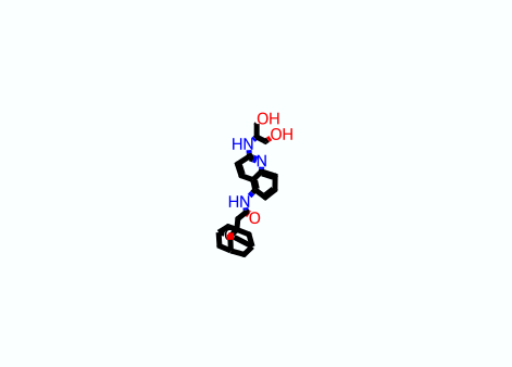 O=C(CC12CC3CC(CC(C3)C1)C2)Nc1cccc2nc(NC(CO)CO)ccc12